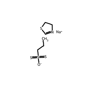 C1=NCCS1.CCCS([O-])(=S)=S.[Na+]